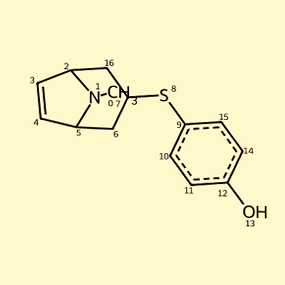 CN1C2C=CC1CC(Sc1ccc(O)cc1)C2